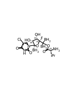 BC(B)(OC(=O)[C@@H](N)C(C)C)[C@@]1(F)O[C@@](B)(n2cc(Cl)c(=O)[nH]c2=O)[C@H](O)[C@@H]1O